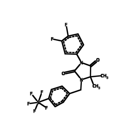 CC1(C)C(=O)N(c2ccc(F)c(F)c2)C(=O)N1Cc1ccc(S(F)(F)(F)(F)F)cc1